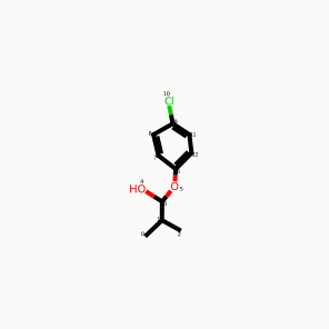 CC(C)C(O)Oc1ccc(Cl)cc1